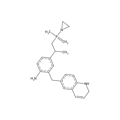 C=P(C)(CC(C)c1ccc(N)c(Cc2ccc3c(c2)C=CCN3)c1)N1CC1